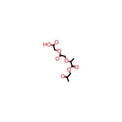 CC(=O)COC(=O)C(C)OCC(=O)OCC(=O)O